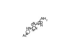 CC(=O)N1CCC(Nc2ncnc3c(NC[C@H](O)CN)noc23)CC1